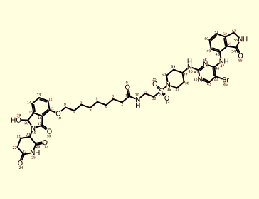 O=C(CCCCCCCCOc1cccc2c1C(=O)N(C1CCC(=O)NC1=O)C2O)NCCS(=O)(=O)N1CCC(Nc2ncc(Br)c(Nc3cccc4c3C(=O)NC4)n2)CC1